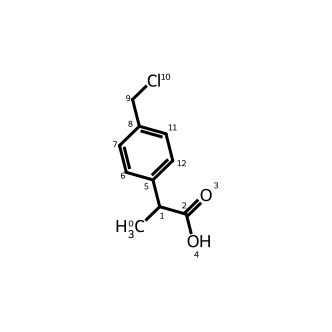 CC(C(=O)O)c1ccc(CCl)cc1